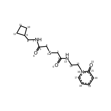 O=C(CSCC(=O)NCC1CCC1)NCCn1ccccc1=O